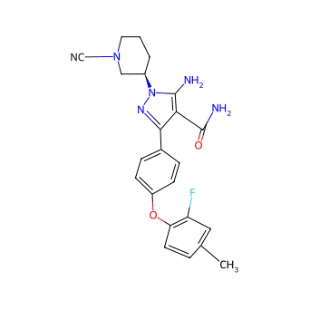 Cc1ccc(Oc2ccc(-c3nn([C@@H]4CCCN(C#N)C4)c(N)c3C(N)=O)cc2)c(F)c1